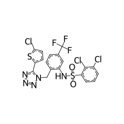 O=S(=O)(Nc1cc(C(F)(F)F)ccc1Cn1nnnc1-c1ccc(Cl)s1)c1cccc(Cl)c1Cl